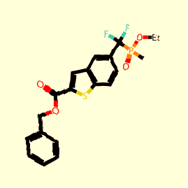 CCOP(C)(=O)C(F)(F)c1ccc2sc(C(=O)OCc3ccccc3)cc2c1